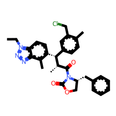 CCn1nnc2c(C)c([C@H](c3ccc(C)c(CCl)c3)[C@@H](C)C(=O)N3C(=O)OC[C@H]3Cc3ccccc3)ccc21